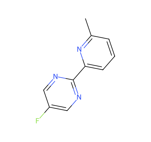 Cc1cccc(-c2ncc(F)cn2)n1